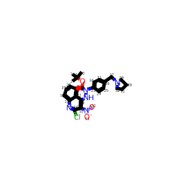 CC(C)(C)OC(=O)N(Nc1c([N+](=O)[O-])c(Cl)nc2ccccc12)c1ccc(CN2CCCC2)cc1